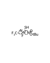 CC(C)(C)OC(=O)N1CCN(c2ncc(C(F)(F)F)cc2F)[C@H](CS)C1